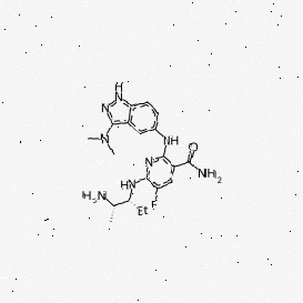 CC[C@@H](Nc1nc(Nc2ccc3[nH]nc(N(C)C)c3c2)c(C(N)=O)cc1F)[C@H](C)N